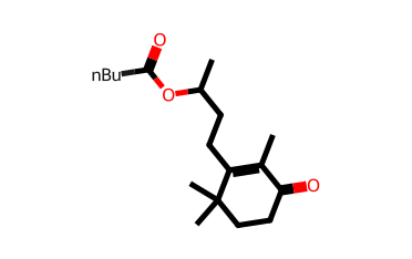 CCCCC(=O)OC(C)CCC1=C(C)C(=O)CCC1(C)C